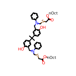 CCCCCCCCOC(=O)CSCN(Cc1cc(C(C)(C)c2ccc(O)c(CN(CSCC(=O)OCCCCCCCC)c3ccccc3)c2)ccc1O)c1ccccc1